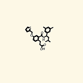 Cc1cc(C)cc(C(CC(C)C)NC(=O)c2cc(OCc3cccs3)ccc2CCC(=O)O)c1